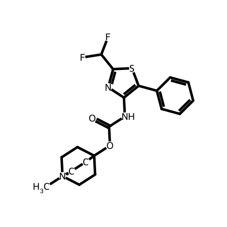 C[N+]12CCC(OC(=O)Nc3nc(C(F)F)sc3-c3ccccc3)(CC1)CC2